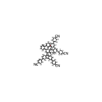 N#Cc1ccc(-c2ccc3c(c2)c2cc(-c4ccc(C#N)cc4)ccc2n3-c2cc(-c3cccnc3-c3ccccc3)cc(-n3c4ccc(-c5ccc(C#N)cc5)cc4c4cc(-c5ccc(C#N)cc5)ccc43)c2C#N)cc1